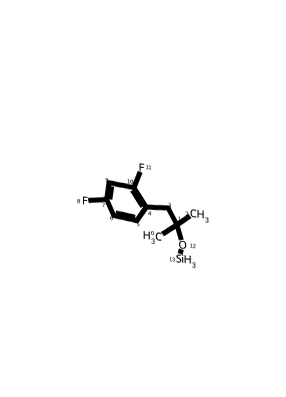 CC(C)(Cc1ccc(F)cc1F)O[SiH3]